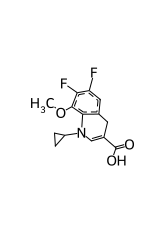 COc1c(F)c(F)cc2c1N(C1CC1)C=C(C(=O)O)C2